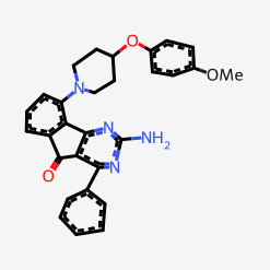 COc1ccc(OC2CCN(c3cccc4c3-c3nc(N)nc(-c5ccccc5)c3C4=O)CC2)cc1